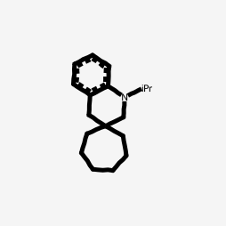 CC(C)N1CC2(CCCCCC2)Cc2ccccc21